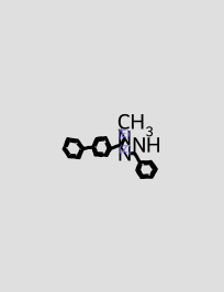 C/C=N/C(=N\C(=N)c1ccccc1)c1ccc(-c2ccccc2)cc1